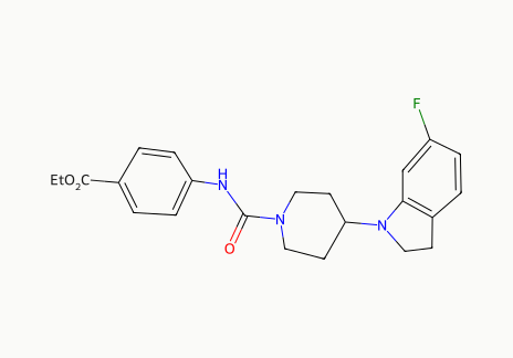 CCOC(=O)c1ccc(NC(=O)N2CCC(N3CCc4ccc(F)cc43)CC2)cc1